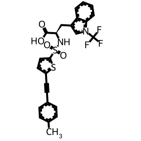 Cc1ccc(C#Cc2ccc(S(=O)(=O)N[C@H](Cc3cn(C(F)(F)F)c4ccccc34)C(=O)O)s2)cc1